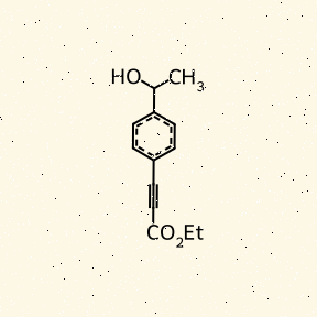 CCOC(=O)C#Cc1ccc(C(C)O)cc1